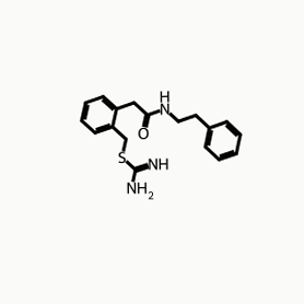 N=C(N)SCc1ccccc1CC(=O)NCCc1ccccc1